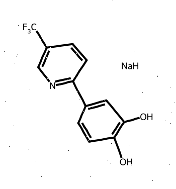 Oc1ccc(-c2ccc(C(F)(F)F)cn2)cc1O.[NaH]